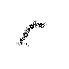 CN(C)CC1(COc2ccc3c(n2)sc2nc(-c4ccc(NC(=O)Nc5cc(C(C)(C)C)on5)cc4)cn23)CC1